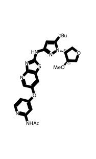 CO[C@@H]1COC[C@H]1n1nc(Nc2nc3ncc(Oc4ccnc(NC(C)=O)c4)cc3s2)cc1C(C)(C)C